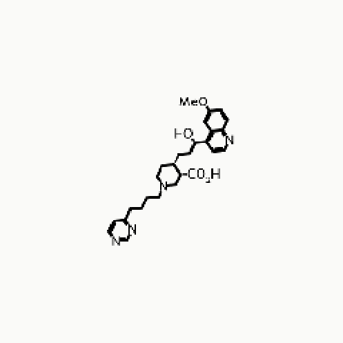 COc1ccc2nccc([C@H](O)CC[C@@H]3CCN(CCCCc4ccncn4)C[C@@H]3C(=O)O)c2c1